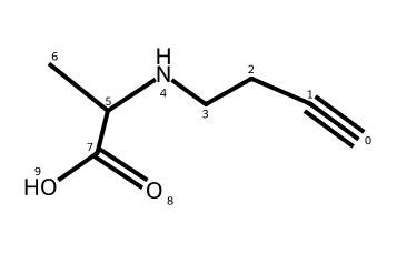 C#CCCNC(C)C(=O)O